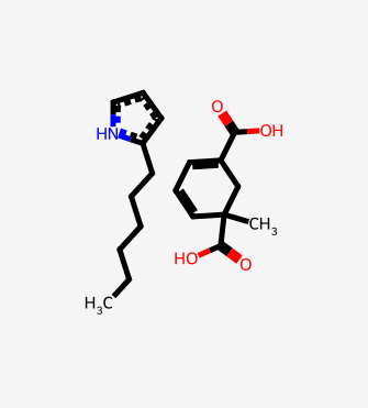 CC1(C(=O)O)C=CC=C(C(=O)O)C1.CCCCCCc1ccc[nH]1